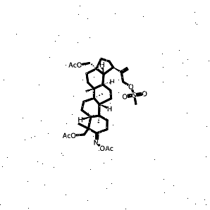 C=C(COS(C)(=O)=O)[C@@H]1CC[C@]2(COC(C)=O)CC[C@]3(C)[C@H](CC[C@@H]4[C@@]5(C)CCC(=NOC(C)=O)C(C)(COC(C)=O)[C@@H]5CC[C@]43C)[C@@H]12